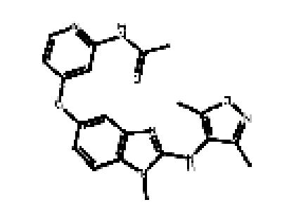 CC(=O)Nc1cc(Oc2ccc3c(c2)nc(Nc2c(C)noc2C)n3C)ccn1